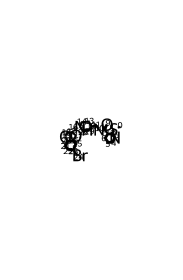 CSc1ncccc1C(=O)NCC1CCN(C[C@H]2COc3ccc(Br)cc3O2)CC1